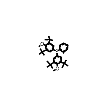 COc1c(C(C)(C)C)cc(P(c2[c]cccc2)c2cc(C(C)(C)C)c(OC)c(C(C)(C)C)c2)cc1C(C)(C)C